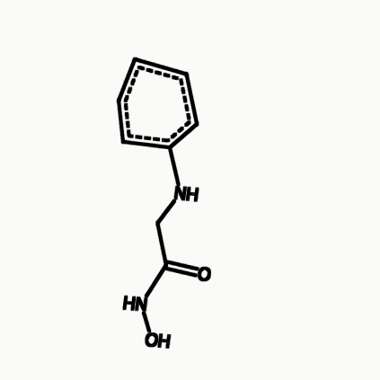 O=C(CNc1ccccc1)NO